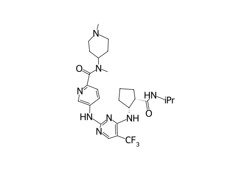 CC(C)NC(=O)[C@H]1CCC[C@H]1Nc1nc(Nc2ccc(C(=O)N(C)C3CCN(C)CC3)nc2)ncc1C(F)(F)F